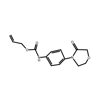 C=CCOC(=O)Nc1ccc(N2CCOCC2=O)cc1